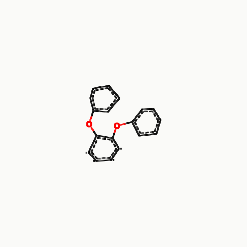 [c]1[c][c]c(Oc2ccccc2)c(Oc2ccccc2)[c]1